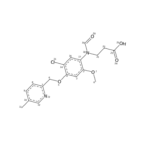 COc1cc(OCc2ccc(C)cn2)c(Cl)cc1N(C=O)CCC(=O)O